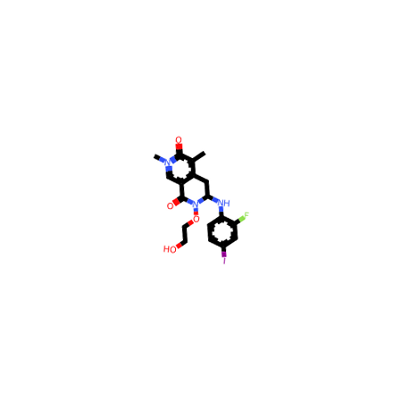 Cc1c2c(cn(C)c1=O)C(=O)N(OCCO)C(Nc1ccc(I)cc1F)C2